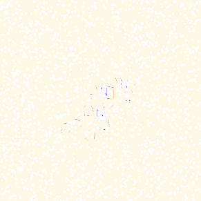 CC12CCCCC1(C)N1c3cc(C4CCCCC4)cc4c3P(c3ccc(N(c5cccc(-c6ccc7ccccc7c6)c5)c5cccc6c5oc5ccccc56)cc3N4c3ccccc3)c3cccc2c31